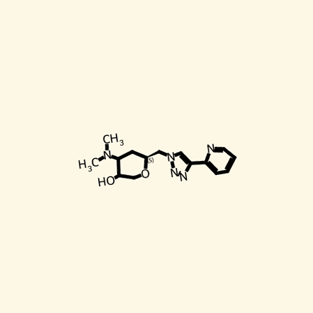 CN(C)C1C[C@@H](Cn2cc(-c3ccccn3)nn2)OCC1O